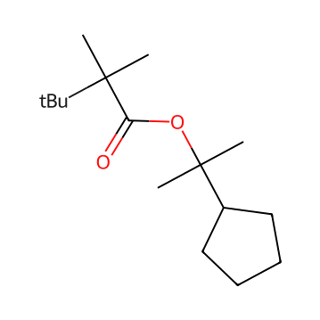 CC(C)(OC(=O)C(C)(C)C(C)(C)C)C1CCCC1